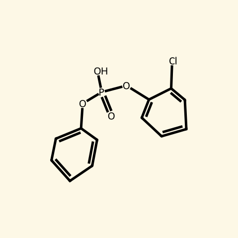 O=P(O)(Oc1ccccc1)Oc1ccccc1Cl